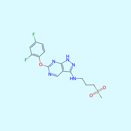 CS(=O)(=O)CCCNc1n[nH]c2nc(Oc3ccc(F)cc3F)ncc12